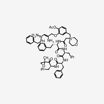 CC(=O)Oc1ccc(C[N+]2(CC(=O)N[C@@H](CCc3ccccc3)C(=O)N[C@@H](CC(C)C)C(=O)N[C@@H](Cc3ccccc3)C(=O)N[C@@H](CC(C)C)C(=O)[C@@]3(C)CO3)CCOCC2)cc1OC/C(N)=C/N(N)PCc1ccccc1